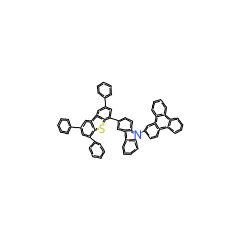 c1ccc(-c2cc(-c3ccccc3)c3sc4c(-c5ccc6c(c5)c5ccccc5n6-c5ccc6c7ccccc7c7ccccc7c6c5)cc(-c5ccccc5)cc4c3c2)cc1